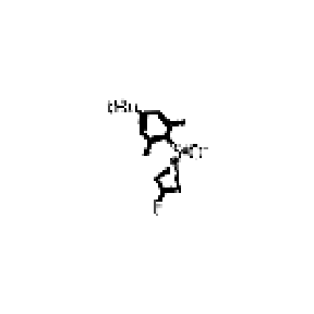 Cc1cc(C(C)(C)C)cc(C)c1[S+]([O-])N1CC(F)C1